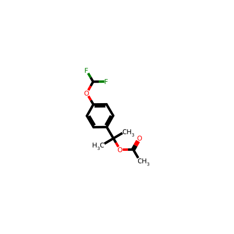 CC(=O)OC(C)(C)c1ccc(OC(F)F)cc1